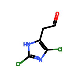 O=CCc1[nH]c(Cl)nc1Cl